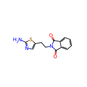 Nc1ncc(CCN2C(=O)c3ccccc3C2=O)s1